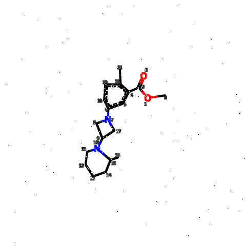 COC(=O)c1cc(N2CC(N3CCCCC3C)C2)ccc1C